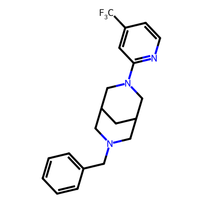 FC(F)(F)c1ccnc(N2CC3CC(CN(Cc4ccccc4)C3)C2)c1